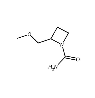 COCC1CCN1C(N)=O